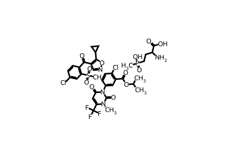 CC(C)OC(=O)c1cc(-n2c(=O)cc(C(F)(F)F)n(C)c2=O)ccc1Cl.CP(=O)(O)CCC(N)C(=O)O.CS(=O)(=O)c1cc(Cl)ccc1C(=O)c1cnoc1C1CC1